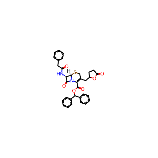 O=C(Cc1ccccc1)N[C@@H]1C(=O)N2C(C(=O)OC(c3ccccc3)c3ccccc3)=C(CC3CCC(=O)O3)CS[C@H]12